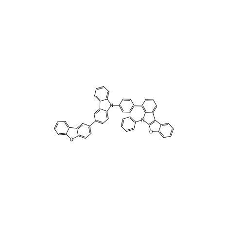 c1ccc(-n2c3oc4ccccc4c3c3cccc(-c4ccc(-n5c6ccccc6c6cc(-c7ccc8oc9ccccc9c8c7)ccc65)cc4)c32)cc1